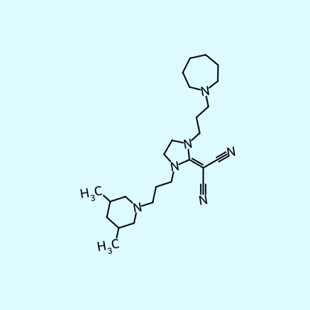 CC1CC(C)CN(CCCN2CCN(CCCN3CCCCCC3)C2=C(C#N)C#N)C1